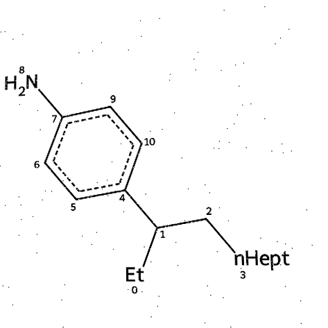 [CH2]CC(CCCCCCCC)c1ccc(N)cc1